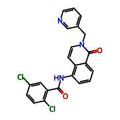 O=C(Nc1cccc2c(=O)n(Cc3cccnc3)ccc12)c1cc(Cl)ccc1Cl